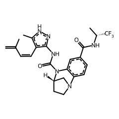 C=C(C)/C=C\c1c(NC(=O)N2c3cc(C(=O)N[C@H](C)C(F)(F)F)ccc3N3CC[C@H]2C3)n[nH]c1C